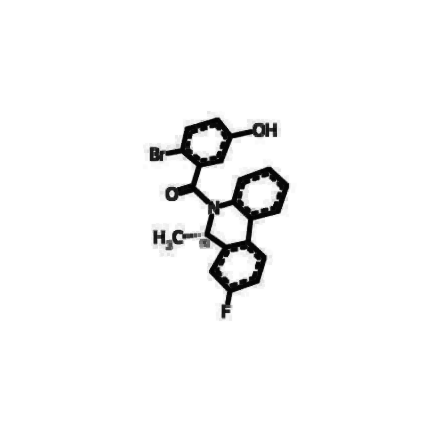 C[C@H]1c2cc(F)ccc2-c2ccccc2N1C(=O)c1cc(O)ccc1Br